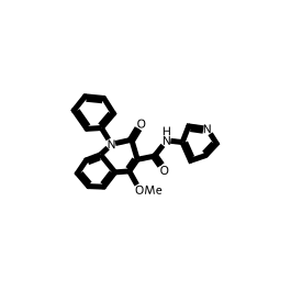 COc1c(C(=O)Nc2cccnc2)c(=O)n(-c2ccccc2)c2ccccc12